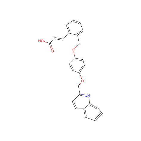 O=C(O)/C=C/c1ccccc1COc1ccc(OCc2ccc3ccccc3n2)cc1